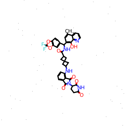 Cc1cc(C(NC(=O)C2CC3(CC(Nc4cccc5c4C(=O)N(C4CCC(=O)NC4=O)C5=O)C3)C2)c2ccc3c(c2)OC(F)(F)O3)c(O)c2ncccc12